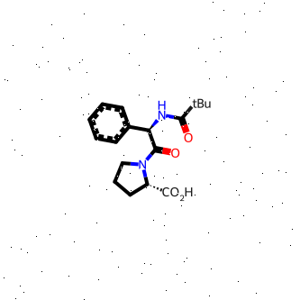 CC(C)(C)C(=O)N[C@@H](C(=O)N1CCC[C@H]1C(=O)O)c1ccccc1